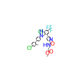 CCOC(=O)CCNC(=O)c1ccc(-c2cc(C(F)(F)F)cc(Cl)c2CNc2ccc(-c3ccc(Cl)cc3C)cc2)cn1